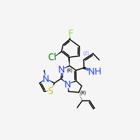 C=CC(C)[C@H]1CC2=C(C(=N)/C=C\C)[C@H](c3ccc(F)cc3Cl)N=C(C3SC=CN3C)N2C1